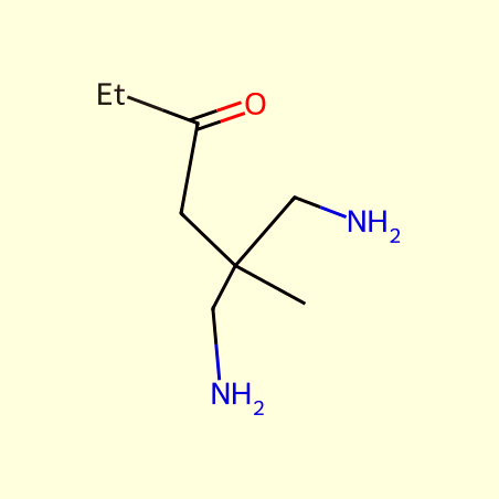 [CH2]CC(=O)CC(C)(CN)CN